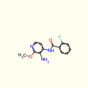 COc1nccc(NC(=O)c2ccccc2F)c1N